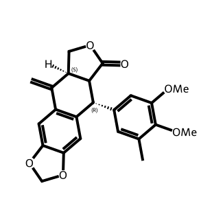 C=C1c2cc3c(cc2[C@@H](c2cc(C)c(OC)c(OC)c2)C2C(=O)OC[C@H]12)OCO3